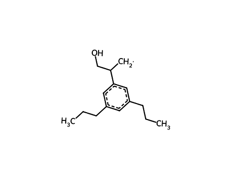 [CH2]C(CO)c1cc(CCC)cc(CCC)c1